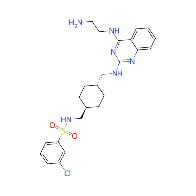 NCCNc1nc(NC[C@H]2CC[C@H](CNS(=O)(=O)c3cccc(Cl)c3)CC2)nc2ccccc12